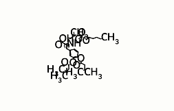 CCCCCOC(=O)OC(C)CN[C@@H](Cc1ccc(OC(=O)CC(C)C)c(OC(=O)CC(C)C)c1)C(=O)O